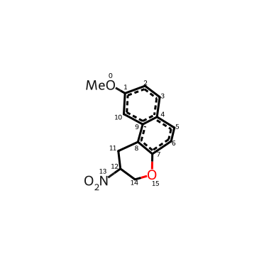 COc1ccc2ccc3c(c2c1)CC([N+](=O)[O-])CO3